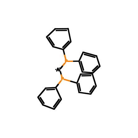 c1ccc([P]([Al][P](c2ccccc2)c2ccccc2)c2ccccc2)cc1